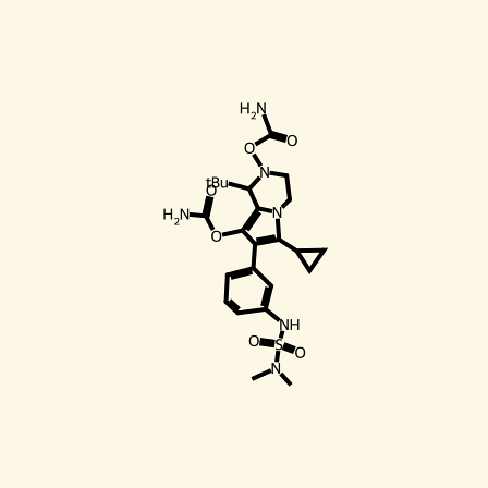 CN(C)S(=O)(=O)Nc1cccc(-c2c(OC(N)=O)c3n(c2C2CC2)CCN(OC(N)=O)C3C(C)(C)C)c1